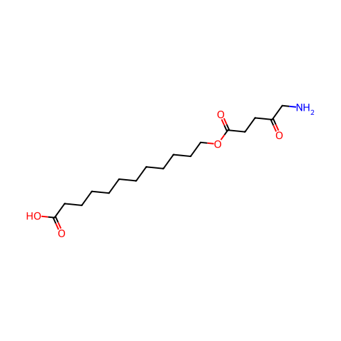 NCC(=O)CCC(=O)OCCCCCCCCCCCC(=O)O